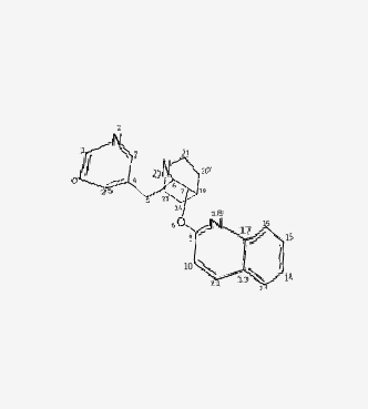 c1cncc(CC2C(Oc3ccc4ccccc4n3)C3CCN2CC3)c1